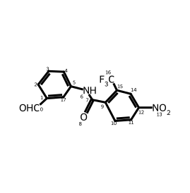 O=Cc1cccc(NC(=O)c2ccc([N+](=O)[O-])cc2C(F)(F)F)c1